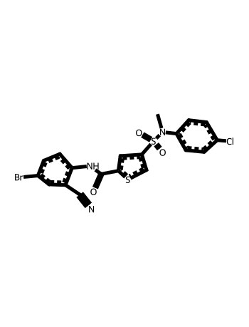 CN(c1ccc(Cl)cc1)S(=O)(=O)c1csc(C(=O)Nc2ccc(Br)cc2C#N)c1